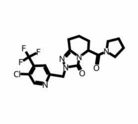 O=C(C1CCCc2nn(Cc3cc(C(F)(F)F)c(Cl)cn3)c(=O)n21)N1CCCC1